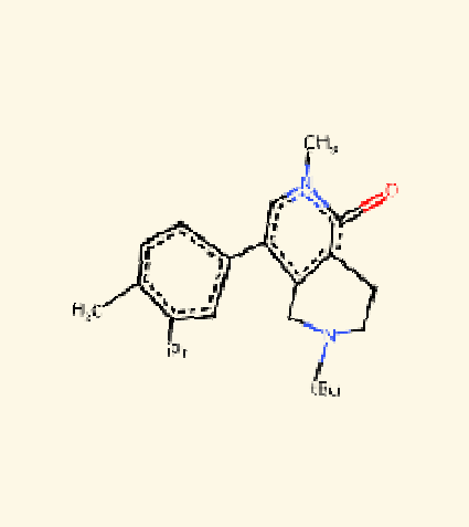 Cc1ccc(-c2cn(C)c(=O)c3c2CN(C(C)(C)C)CC3)cc1C(C)C